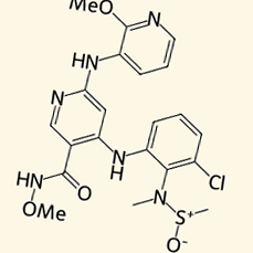 CONC(=O)c1cnc(Nc2cccnc2OC)cc1Nc1cccc(Cl)c1N(C)[S+](C)[O-]